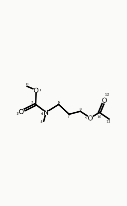 COC(=O)N(C)CCCOC(C)=O